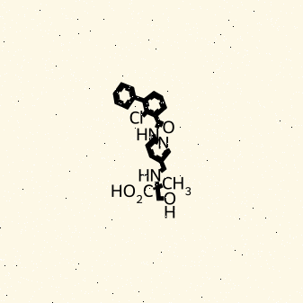 C[C@](CO)(NCc1ccc(NC(=O)c2cccc(-c3ccccc3)c2Cl)nc1)C(=O)O